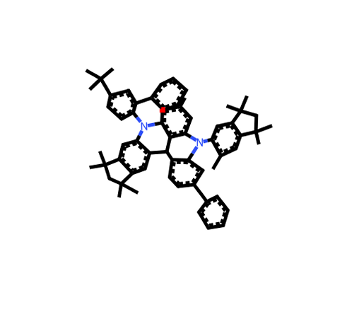 Cc1cc2c3c(c1)N(c1ccc(C(C)(C)C)cc1-c1ccccc1)c1cc4c(cc1C3c1ccc(-c3ccccc3)cc1N2c1cc2c(cc1C)C(C)(C)CC2(C)C)C(C)(C)CC4(C)C